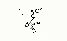 CC1(Cc2ccccc2)C(=O)N(CCN2CCC(C(=O)c3ccc(F)cc3)CC2)c2ccccc21.Cl